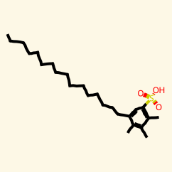 CCCCCCCCCCCCCCCCc1cc(S(=O)(=O)O)c(C)c(C)c1C